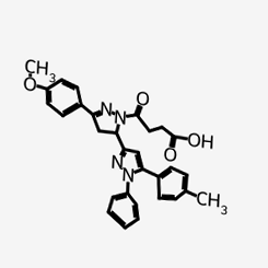 COc1ccc(C2=NN(C(=O)CCC(=O)O)C(c3cc(-c4ccc(C)cc4)n(-c4ccccc4)n3)C2)cc1